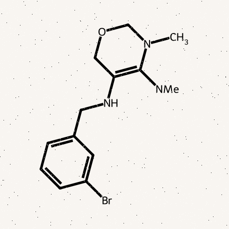 CNC1=C(NCc2cccc(Br)c2)COCN1C